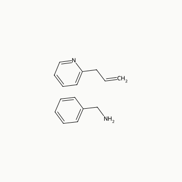 C=CCc1ccccn1.NCc1ccccc1